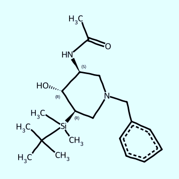 CC(=O)N[C@H]1CN(Cc2ccccc2)C[C@@H]([Si](C)(C)C(C)(C)C)[C@@H]1O